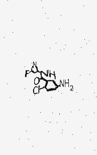 Nc1ccc(Cl)c(C(=O)Nc2cncc(F)c2)c1